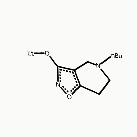 CCCCN1CCc2onc(OCC)c2C1